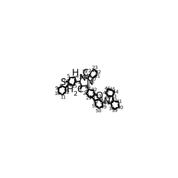 C=C1C(c2ccc3sc4ccccc4c3c2)=NC(C2(C)C=CC=CC2)=NC1c1ccc2c(c1)oc1c(-n3c4ccccc4c4ccccc43)cccc12